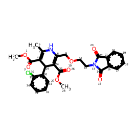 COC(=O)C1=C(C)NC(COCCN2C(=O)c3ccccc3C2=O)=C(C(=O)OC)C1c1ccccc1Cl